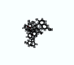 CC(C)[Si](C#Cc1c(F)ccc2cc(O)cc(-c3ncc4c(N5CC6CCC(C5)N6Cc5ccccc5)nc(OC[C@@]56CCCN5C[C@H](F)C6)nc4c3F)c12)(C(C)C)C(C)C